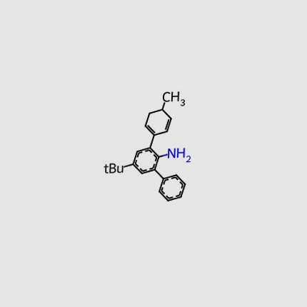 CC1C=CC(c2cc(C(C)(C)C)cc(-c3ccccc3)c2N)=CC1